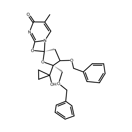 Cc1cn2c(nc1=O)O[C@@]21CC(OCc2ccccc2)[C@@](COCc2ccccc2)(C2(O)CC2)O1